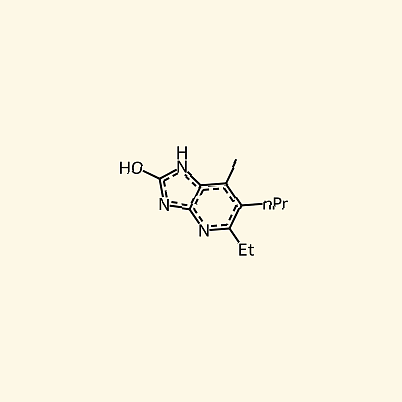 CCCc1c(CC)nc2nc(O)[nH]c2c1C